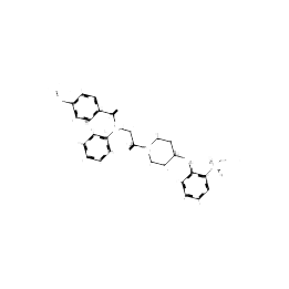 COc1ccc(C(=O)N(CC(=O)N2CCC(Oc3ccccc3S(C)(=O)=O)CC2)c2ccccc2)cc1